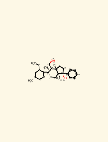 CC[C@H]1C[C@@H](C)CC[C@]1(C)[C@H]1CC[C@@]2(C)[C@@H](CC[C@@]2(O)c2ccccc2)[C@@H]1CO